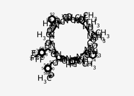 CC[C@H](C)[C@@H]1NC(=O)[C@H](CC(C)C)N(C)C(=O)C[C@@H](C(=O)N2CCCCC2)N(C)C(=O)[C@H](CC(C)C)N(C)C(=O)C2(CCCC2)NC(=O)[C@@H]2C[C@H](OCc3cccc(OC)c3)CN2C(=O)[C@H](CCc2ccc(C(F)(F)F)c(F)c2)NC(=O)CN(C)C(=O)[C@H](CC2CCCCC2)N(C)C(=O)CN(C)C(=O)CN(C)C1=O